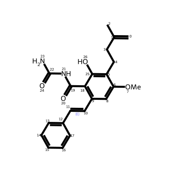 C=C(C)CCc1c(OC)cc(/C=C/c2ccccc2)c(C(=O)NC(N)=O)c1O